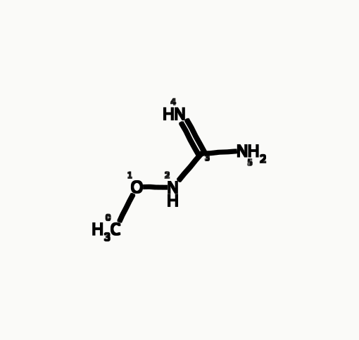 CONC(=N)N